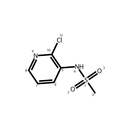 CS(=O)(=O)Nc1[c]ccnc1Cl